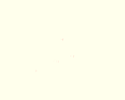 OCCCCC(CCCO)C(O)CCCO